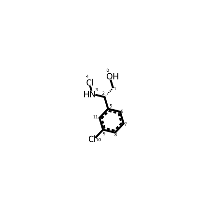 OC[C@@H](NCl)c1cccc(Cl)c1